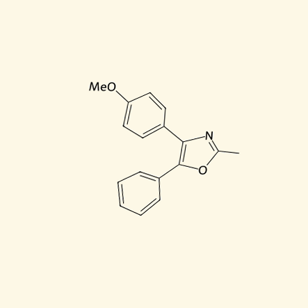 COc1ccc(-c2nc(C)oc2-c2ccccc2)cc1